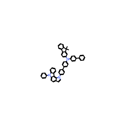 CC1(C)c2ccccc2-c2ccc(N(c3ccc(-c4ccccc4)cc3)c3ccc(-c4ccc(-n5ccc6ccc7c(c8ccccc8n7-c7ccccc7)c65)cc4)cc3)cc21